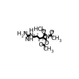 CC(=O)OC1C(CCCNC(=N)N)C(=O)N1C(C)=O.Cl